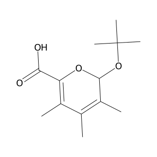 CC1=C(C(=O)O)OC(OC(C)(C)C)C(C)=C1C